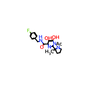 CC(=O)N1CCC[C@]1(C)c1nc(O)c(O)c(C(=O)NCc2ccc(F)cc2)n1